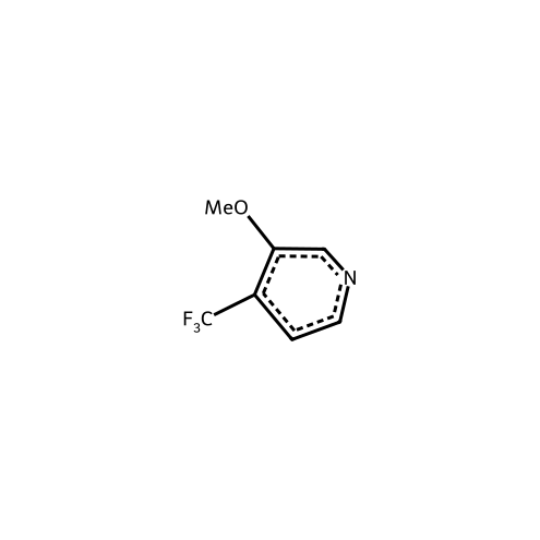 COc1cnccc1C(F)(F)F